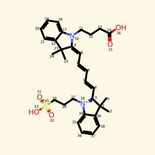 CC1(C)C(/C=C/C=C/C=C2/N(CCCC(=O)O)c3ccccc3C2(C)C)=[N+](CCCS(=O)(=O)O)c2ccccc21